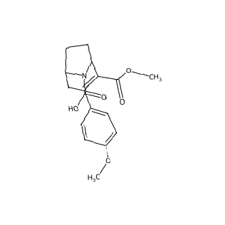 COC(=O)C1=C(c2ccc(OC)cc2)CC2CCC1N2C(=O)O